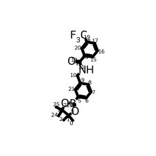 CC1(C)OB(c2cccc(CNC(=O)c3cccc(C(F)(F)F)c3)c2)OC1(C)C